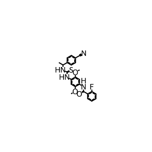 COc1cc(NC(=S)NC(C)c2ccc(C#N)cc2)c(OC)cc1NC(=O)c1ccccc1F